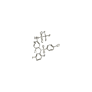 O=S(=O)(c1ccc(Cl)cc1)C(c1cc(F)ccc1F)c1cc(NS(=O)(=O)C(F)(F)F)ncc1Cl